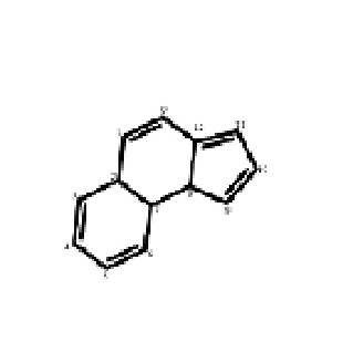 [C]1=CC2C=CC=CC2C2C=CC=C12